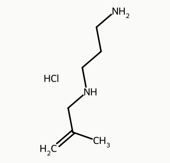 C=C(C)CNCCCN.Cl